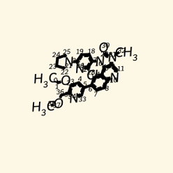 CCOc1cc(-c2ccc3ncc4c(c3c2)n(-c2ccc(N3CCCC3)nc2C)c(=O)n4C)cnc1COC